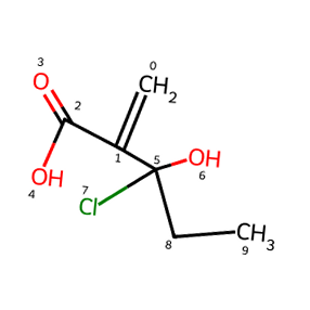 C=C(C(=O)O)C(O)(Cl)CC